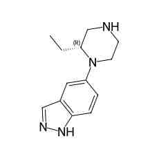 CC[C@@H]1CNCCN1c1ccc2[nH]ncc2c1